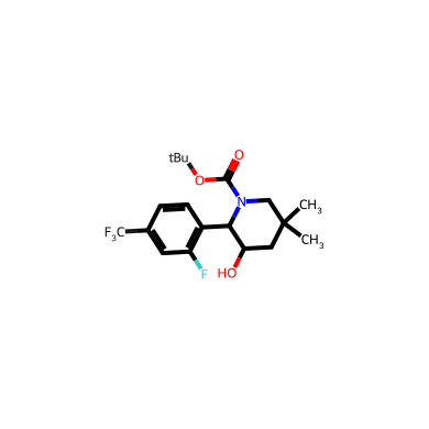 CC1(C)CC(O)C(c2ccc(C(F)(F)F)cc2F)N(C(=O)OC(C)(C)C)C1